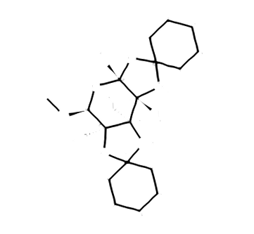 CO[C@H]1O[C@@H]2OC3(CCCCC3)O[C@@H]2[C@H]2OC3(CCCCC3)O[C@@H]12